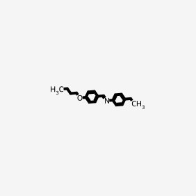 CCCCOc1ccc(C=Nc2ccc(CC)cc2)cc1